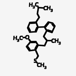 COc1ccc(CSC)c(CC(C)Cc2ccccc2-c2ccccc2CCC(C)C)c1